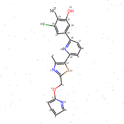 Cc1nc(COc2ccccn2)sc1-c1cccc(-c2cc(O)c(C#N)c(F)c2)n1